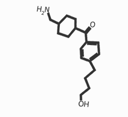 NCC1CCC(C(=O)c2ccc(CCCCO)cc2)CC1